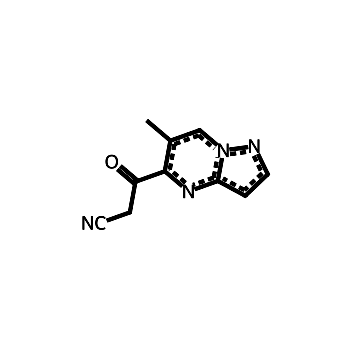 Cc1cn2nccc2nc1C(=O)CC#N